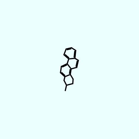 CC1CCc2c(ccc3c2ccc2ccccc23)C1